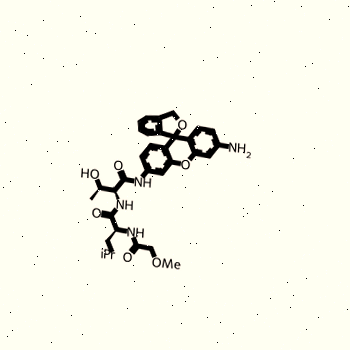 COCC(=O)N[C@@H](CC(C)C)C(=O)N[C@H](C(=O)Nc1ccc2c(c1)Oc1cc(N)ccc1C21OCc2ccccc21)[C@@H](C)O